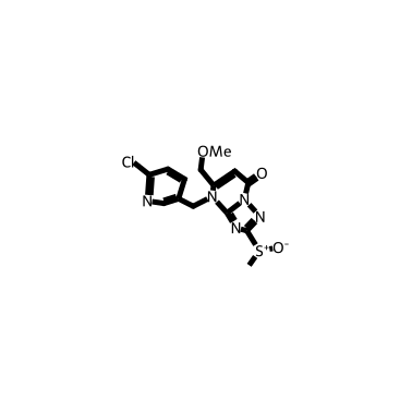 COCc1cc(=O)n2nc([S+](C)[O-])nc2n1Cc1ccc(Cl)nc1